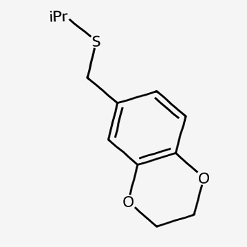 CC(C)SCc1ccc2c(c1)OCCO2